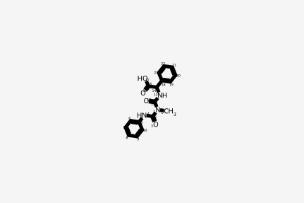 CN(C(=O)Nc1ccccc1)C(=O)NC(C(=O)O)c1ccccc1